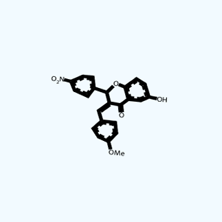 COc1ccc(C=C2C(=O)c3cc(O)ccc3OC2c2ccc([N+](=O)[O-])cc2)cc1